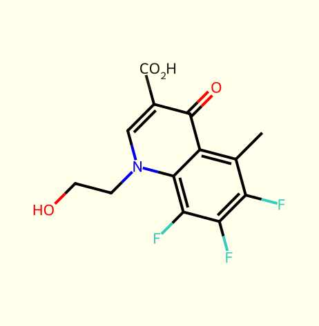 Cc1c(F)c(F)c(F)c2c1c(=O)c(C(=O)O)cn2CCO